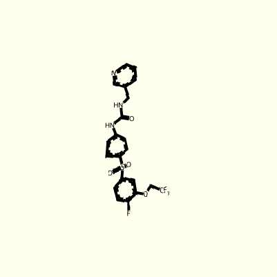 O=C(NCc1cccnc1)Nc1ccc(S(=O)(=O)c2ccc(F)c(OCC(F)(F)F)c2)cc1